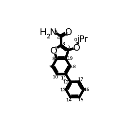 CC(C)Oc1c(C(N)=O)oc2ccc(-c3ccccc3)cc12